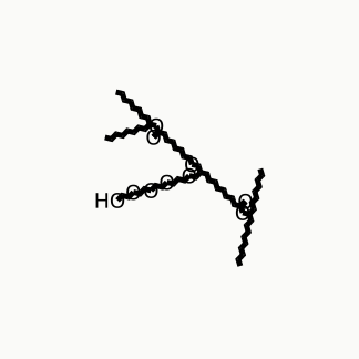 CCCCCCCCCC(CCCCCCCC)OC(=O)CCCCCCCCC(COCCCCCCCC(=O)OC(CCCCCCCC)CCCCCCCC)COCCCOCCOCCOCCO